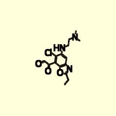 CCc1nc2cc(NCCN(C)C)c(Cl)c(C(=O)C=O)c2o1